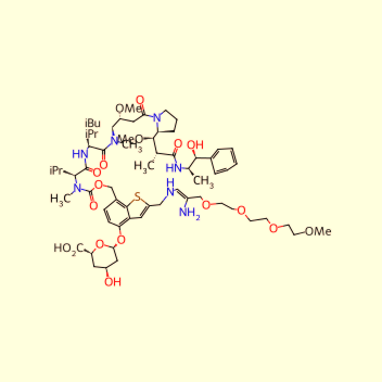 CC[C@H](C)[C@@H]([C@@H](CC(=O)N1CCC[C@H]1[C@H](OC)[C@@H](C)C(=O)N[C@H](C)[C@@H](O)c1ccccc1)OC)N(C)C(=O)[C@@H](NC(=O)[C@H](C(C)C)N(C)C(=O)OCc1ccc(O[C@H]2C[C@@H](O)C[C@@H](C(=O)O)O2)c2cc(CN/C=C(\N)COCCOCCOCCOC)sc12)C(C)C